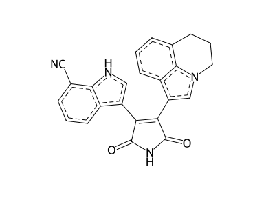 N#Cc1cccc2c(C3=C(c4cn5c6c(cccc46)CCC5)C(=O)NC3=O)c[nH]c12